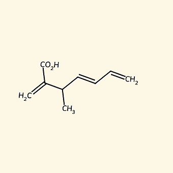 C=CC=CC(C)C(=C)C(=O)O